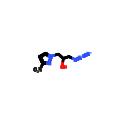 [N-]=[N+]=NCC(O)Cn1ccc([N+](=O)[O-])n1